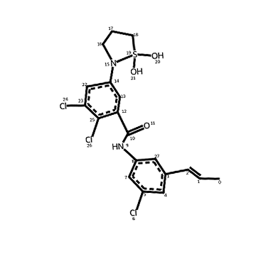 CC=Cc1cc(Cl)cc(NC(=O)c2cc(N3CCCS3(O)O)cc(Cl)c2Cl)c1